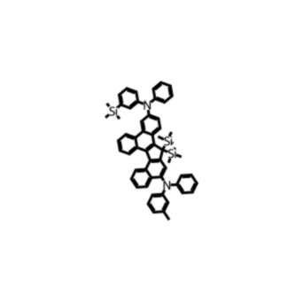 Cc1cccc(N(c2ccccc2)c2cc3c(c4ccccc24)-c2c(c4ccc(N(c5ccccc5)c5cccc([Si](C)(C)C)c5)cc4c4ccccc24)C3([Si](C)(C)C)[Si](C)(C)C)c1